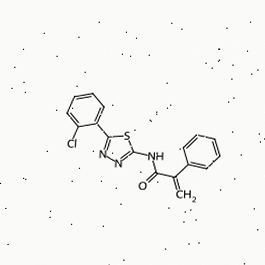 C=C(C(=O)Nc1nnc(-c2ccccc2Cl)s1)c1ccccc1